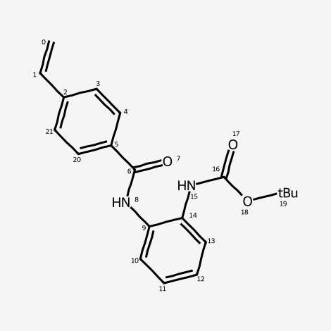 C=Cc1ccc(C(=O)Nc2ccccc2NC(=O)OC(C)(C)C)cc1